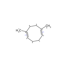 C/C1=C/CC/C=C(/C)CC1